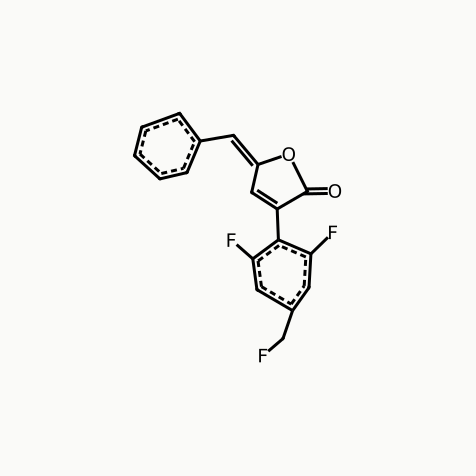 O=C1O/C(=C/c2ccccc2)C=C1c1c(F)cc(CF)cc1F